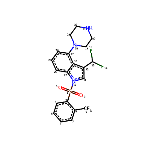 O=S(=O)(c1ccccc1C(F)(F)F)n1cc(C(F)F)c2c(N3CCNCC3)cccc21